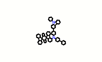 c1ccc(-c2ccc(N(c3ccc(-c4ccc5c(c4)c4ccccc4n5-c4ccccc4)cc3)c3cccc4c3-c3ccccc3C43c4ccccc4C4(c5ccccc5-c5ccccc54)c4ccccc43)cc2)cc1